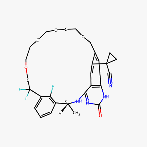 C[C@H]1Nc2nc(=O)[nH]c3cc(c(C4(C#N)CC4)cc23)CCCCCCCCCOCC(F)(F)c2cccc1c2F